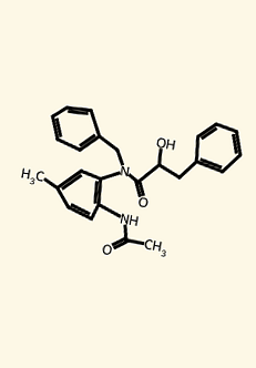 CC(=O)Nc1ccc(C)cc1N(Cc1ccccc1)C(=O)C(O)Cc1ccccc1